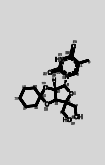 Cc1cn([C@@H]2OC(CO)(CO)C3OC4(CCCCC4)O[C@@H]32)c(=O)[nH]c1=O